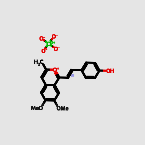 COc1cc2cc(C)[o+]c(/C=C/c3ccc(O)cc3)c2cc1OC.[O-][Cl+3]([O-])([O-])[O-]